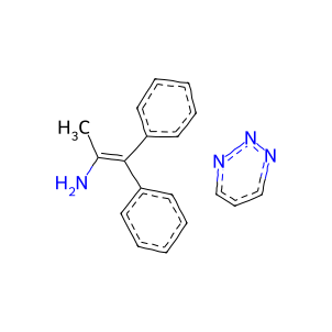 CC(N)=C(c1ccccc1)c1ccccc1.c1cnnnc1